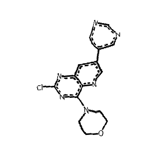 Clc1nc(N2CCOCC2)c2ncc(-c3cncnc3)cc2n1